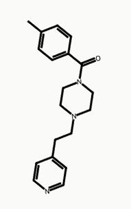 Cc1ccc(C(=O)N2CCN(CCc3ccncc3)CC2)cc1